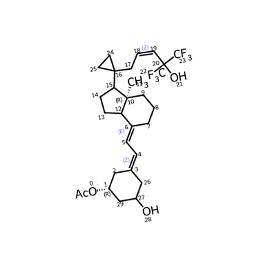 CC(=O)O[C@@H]1C/C(=C\C=C2/CCC[C@@]3(C)C2CCC3C2(C/C=C\C(O)(C(F)(F)F)C(F)(F)F)CC2)CC(O)C1